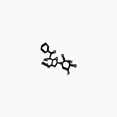 [N-]=[N+]=NC1C[C@H](n2cc(F)c(=O)[nH]c2=O)O[C@@H]1C(O)C(=O)c1ccccc1